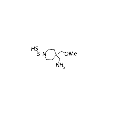 COCC1(CN)CCN(SS)CC1